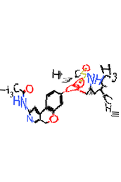 CC(=O)Nc1cc2c(cn1)COc1cc(OC[C@H](CC(C)C)NS(C)(=O)=O)ccc1-2